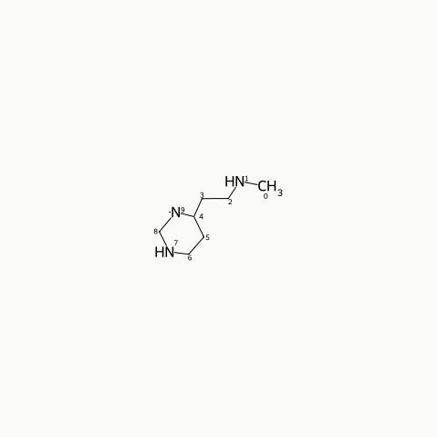 CNCCC1CCNC[N]1